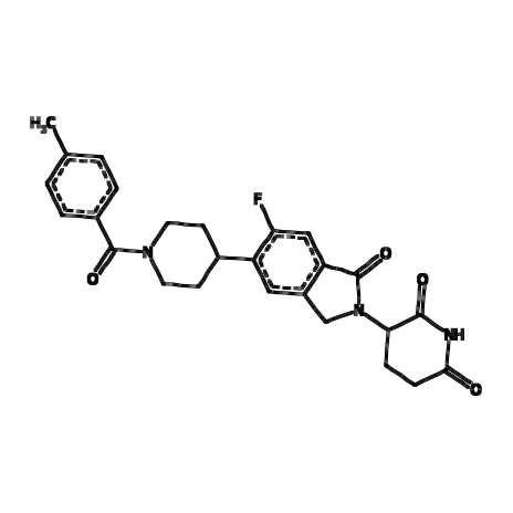 Cc1ccc(C(=O)N2CCC(c3cc4c(cc3F)C(=O)N(C3CCC(=O)NC3=O)C4)CC2)cc1